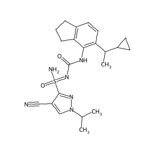 CC(c1ccc2c(c1NC(=O)N=S(N)(=O)c1nn(C(C)C)cc1C#N)CCC2)C1CC1